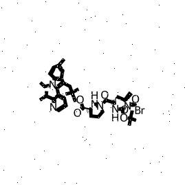 CCn1c(-c2cccnc2C(C)C)c(CC(C)(C)COC(=O)[C@@H]2CCCN(C(=O)[C@H](Cc3coc(Br)n3)NC(=O)OC(C)(C)C)N2)c2cc(C)ccc21